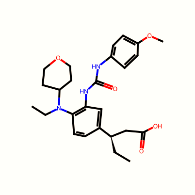 CC[C@H](CC(=O)O)c1ccc(N(CC)C2CCOCC2)c(NC(=O)Nc2ccc(OC)cc2)c1